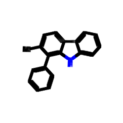 N#Cc1ccc2c([nH]c3ccccc32)c1-c1ccccc1